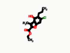 CCCc1c(Cl)cc2oc(C(=O)OCC)c(C)c2c1O